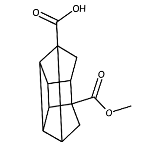 COC(=O)C12CC3C4C5C(C1CC35C(=O)O)C42